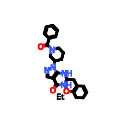 CCOC1=C(CC2NC(=O)c3cnn(C4CCCN(C(=O)c5ccccc5)C4)c3N2)C=CCC1